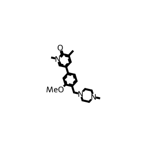 COc1cc(-c2cc(C)c(=O)n(C)c2)ccc1CN1CCN(C)CC1